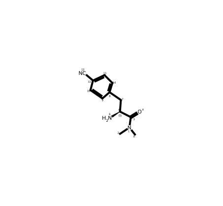 CN(C)C(=O)[C@@H](N)Cc1ccc(C#N)cc1